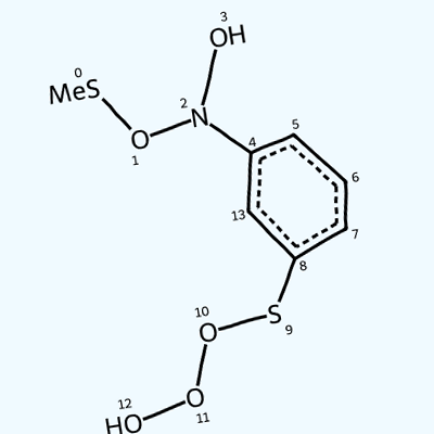 CSON(O)c1cccc(SOOO)c1